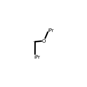 CC(C)[CH]OC(C)C